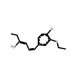 CCOc1cc(/C=C\C=C(N)CC)ccc1Cl